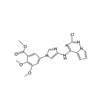 COC(=O)c1cc(-n2cnc(Nc3nc(Cl)nn4cccc34)c2)cc(OC)c1OC